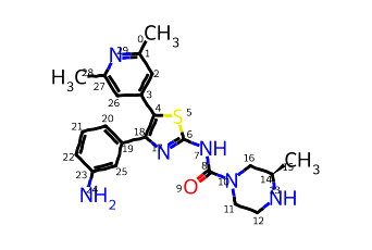 Cc1cc(-c2sc(NC(=O)N3CCN[C@H](C)C3)nc2-c2cccc(N)c2)cc(C)n1